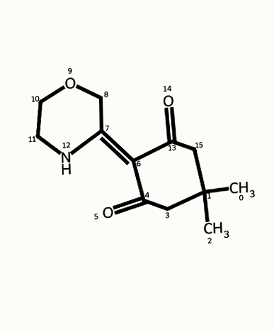 CC1(C)CC(=O)C(=C2COCCN2)C(=O)C1